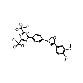 COc1ccc(C2=NN(c3ccc(-c4nc(C(Cl)(Cl)Cl)nc(C(Cl)(Cl)Cl)n4)cc3)CO2)cc1OC